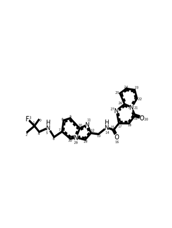 CC(C)(F)CNCc1ccc2nc(CNC(=O)c3cc(=O)n4ccccc4n3)cn2c1